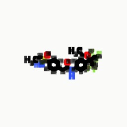 CCOC(c1ccc(NC(=O)Cc2ccc(S(=N)(=O)CC)cc2)cc1)(C(F)(F)F)C(F)(F)F